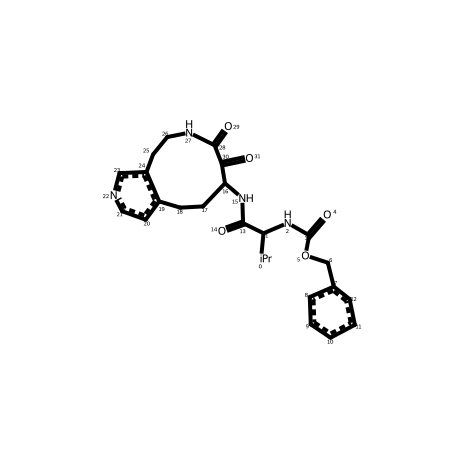 CC(C)C(NC(=O)OCc1ccccc1)C(=O)NC1CCc2ccncc2CCNC(=O)C1=O